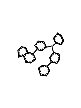 c1ccc(-c2cccc(N(c3ccccc3)c3cccc(-c4cccc5ccccc45)c3)c2)cc1